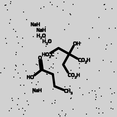 CCCC(=O)O.O.O.O=C(O)CC(O)(CC(=O)O)C(=O)O.[NaH].[NaH].[NaH]